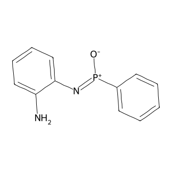 Nc1ccccc1/N=[P+](\[O-])c1ccccc1